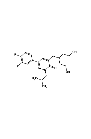 CC(C)Cn1nc(-c2ccc(F)c(F)c2)cc(CN(CCO)CCO)c1=O